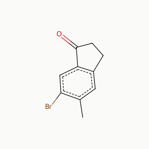 Cc1cc2c(cc1Br)C(=O)CC2